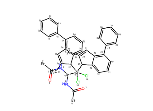 CCC(=O)[NH][In]([NH]C(=O)CC)[Zr]([Cl])([Cl])([CH]1C(C)=Cc2c(-c3ccccc3)cccc21)[CH]1C(C)=Cc2c(-c3ccccc3)cccc21